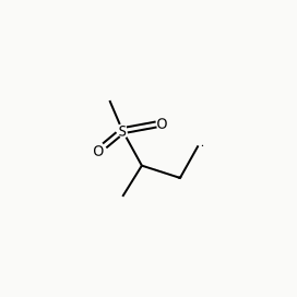 [CH2]CC(C)S(C)(=O)=O